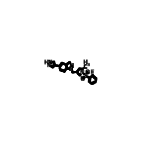 C[C@@H]1CC(Cn2ncc3cc(-c4cn[nH]c4)ccc32)CN1S(=O)(=O)c1ccccc1F